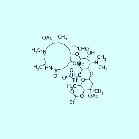 CCC(=O)O[C@@H]1CC(=O)N[C@@H](C)CN(C)C[C@H](OC(C)=O)[C@H](C)C[C@H](CC=O)[C@H](O[C@@H]2OC(C)[C@@H](O[C@H]3CC(C)(OC(C)=O)[C@@H](OC(=O)CC)C(C)O3)C(N(C)C)C2O)[C@H]1OC